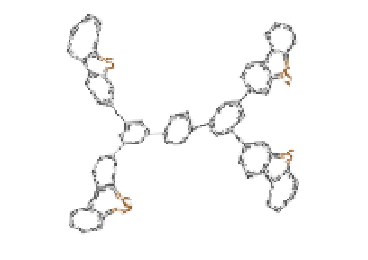 c1ccc2c(c1)sc1cc(-c3cc(-c4ccc(-c5cc(-c6ccc7c(c6)sc6ccccc67)cc(-c6ccc7c(c6)sc6ccccc67)c5)cc4)cc(-c4ccc5c(c4)sc4ccccc45)c3)ccc12